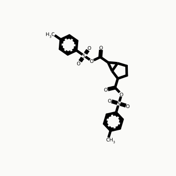 Cc1ccc(S(=O)(=O)OC(=O)C2CCC3C(C(=O)OS(=O)(=O)c4ccc(C)cc4)C23)cc1